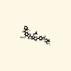 COc1cc(C(=O)N2CC3CCC2[C@@H]3N)cc2nc(-c3cc4ccc(-c5ccc(C(=O)NCC6(C(N)=O)CC6)cc5)nc4n3CC3CC3)n(C)c12